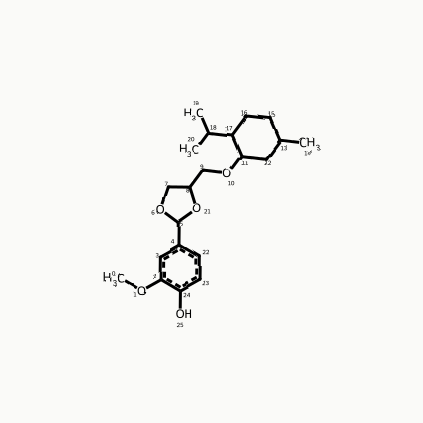 COc1cc(C2OCC(COC3CC(C)CCC3C(C)C)O2)ccc1O